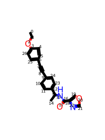 CCOc1ccc(C#Cc2ccc(C(C)NC(=O)c3cocn3)cc2)cc1